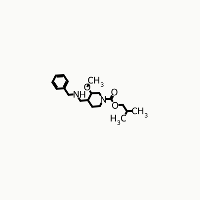 COC1CN(C(=O)OCC(C)C)CCC1CNCc1ccccc1